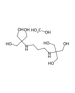 O=C(O)O.OCC(CO)(CO)NCCCNC(CO)(CO)CO